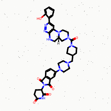 O=C1CCC(N2C(=O)c3ccc(N4CCN(CC5CCN(C(=O)N6CCN7c8cc(-c9ccccc9O)nnc8NC[C@H]7C6)CC5)CC4)cc3C2=O)C(=O)N1